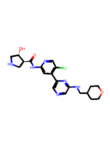 O=C(Nc1cc(-c2cncc(NCC3CCOCC3)n2)c(Cl)cn1)[C@H]1CNC[C@@H]1O